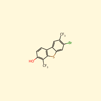 Oc1ccc2c(sc3cc(Br)c(C(F)(F)F)cc32)c1C(F)(F)F